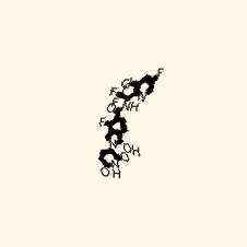 O=C1CCC(N2Cc3c(ccc(C(=O)NC(c4ncc(F)cc4Cl)C(F)(F)F)c3F)C2O)C(=O)N1